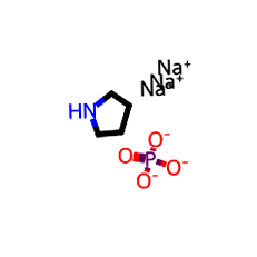 C1CCNC1.O=P([O-])([O-])[O-].[Na+].[Na+].[Na+]